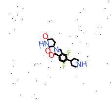 O=C1CCC(N2Cc3c(cc(F)c(C4CCNCC4)c3F)C2=O)C(=O)N1